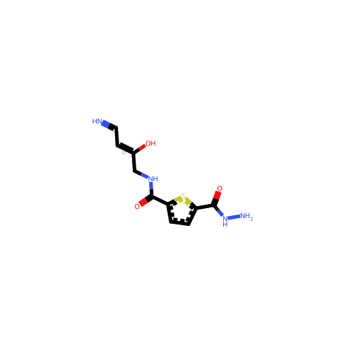 N=C/C=C(\O)CNC(=O)c1ccc(C(=O)NN)s1